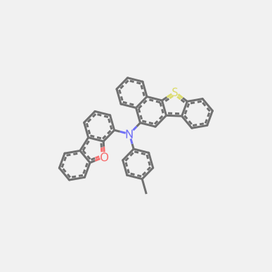 Cc1ccc(N(c2cc3c4ccccc4sc3c3ccccc23)c2cccc3c2oc2ccccc23)cc1